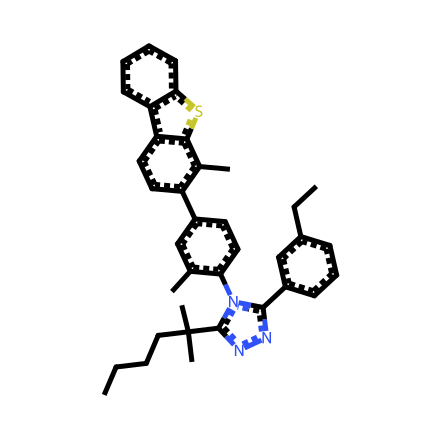 CCCCC(C)(C)c1nnc(-c2cccc(CC)c2)n1-c1ccc(-c2ccc3c(sc4ccccc43)c2C)cc1C